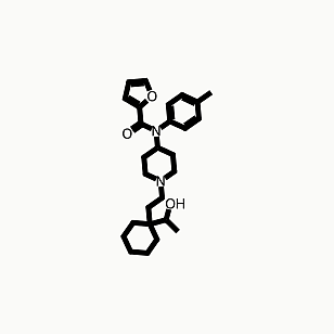 C[C](O)C1(CCN2CCC(N(C(=O)c3ccco3)c3ccc(C)cc3)CC2)CCCCC1